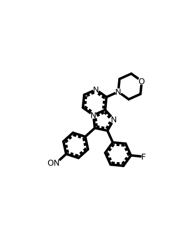 O=Nc1ccc(-c2c(-c3cccc(F)c3)nc3c(N4CCOCC4)nccn23)cc1